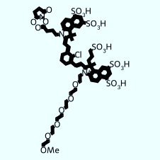 COCCOCCOCCOCCOCCOCC[N+]1=C(/C=C/C2=C(Cl)C(=C/C=C3/N(CCCC(=O)ON4C(=O)CCC4=O)c4ccc5c(S(=O)(=O)O)cc(S(=O)(=O)O)cc5c4C3(C)C)/CCC2)C(C)(CCCS(=O)(=O)O)c2c1ccc1c(S(=O)(=O)O)cc(S(=O)(=O)O)cc21